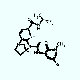 C[C@@H](NC(=O)C1C=CC2=C(N1)N(C(=O)Nc1cc(Br)cn(C)c1=O)[C@H]1CCN2C1)C(F)(F)F